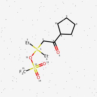 CCS(CC)(CC(=O)C1CCCC1)OS(=O)(=O)C(F)(F)F